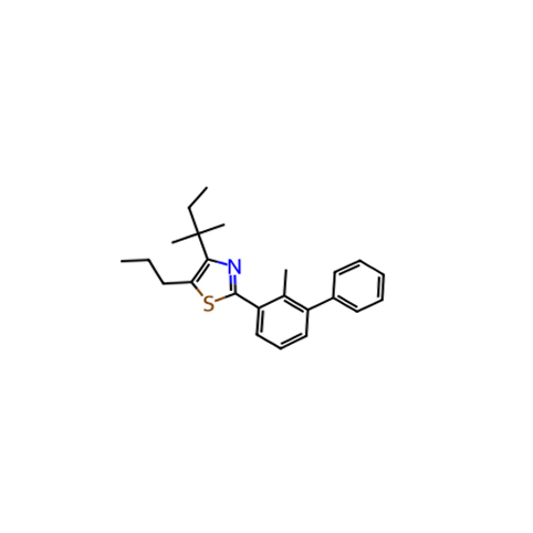 CCCc1sc(-c2cccc(-c3ccccc3)c2C)nc1C(C)(C)CC